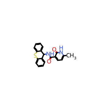 Cc1ccc(C(=O)NC2c3ccccc3Sc3ccccc32)c(=O)[nH]1